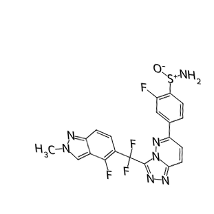 Cn1cc2c(F)c(C(F)(F)c3nnc4ccc(-c5ccc([S+](N)[O-])c(F)c5)nn34)ccc2n1